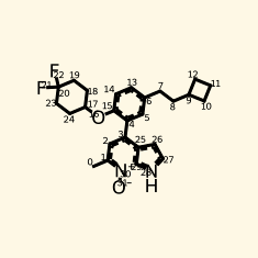 Cc1cc(-c2cc(CCC3CCC3)ccc2OC2CCC(F)(F)CC2)c2cc[nH]c2[n+]1[O-]